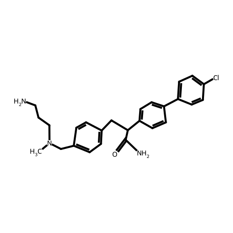 CN(CCCN)Cc1ccc(CC(C(N)=O)c2ccc(-c3ccc(Cl)cc3)cc2)cc1